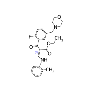 CCOC(=O)/C(=C\Nc1ccccc1C)C(=O)c1cc(CN2CCOCC2)ccc1F